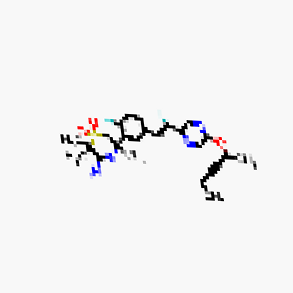 CCC#CC(C)Oc1cnc(/C(F)=C/c2ccc(F)c(C3(C)CS(=O)(=O)C(C)(C)C(N)=N3)c2)cn1